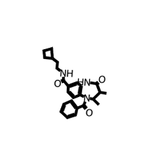 CC1C(=O)Nc2cc(C(=O)NCCC3CCC3)ccc2N(C(=O)c2ccccc2)C1C